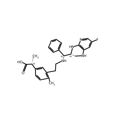 Cc1ccc([C@@H](C)C(=O)O)cc1CCN[C@H](c1ccccc1)[C@H]1CNc2cc(F)cnc2N1